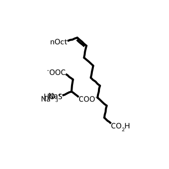 CCCCCCCC/C=C\CCCCCCCC(=O)O.O=C([O-])CC(C(=O)[O-])S(=O)(=O)O.[Na+].[Na+]